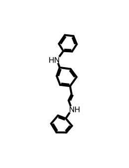 C(=Cc1ccc(Nc2ccccc2)cc1)Nc1ccccc1